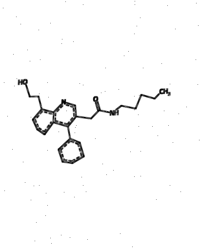 CCCCCNC(=O)Cc1cnc2c(CCO)cccc2c1-c1ccccc1